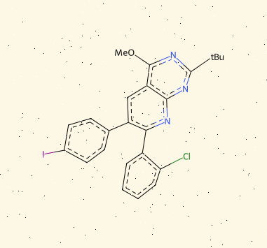 COc1nc(C(C)(C)C)nc2nc(-c3ccccc3Cl)c(-c3ccc(I)cc3)cc12